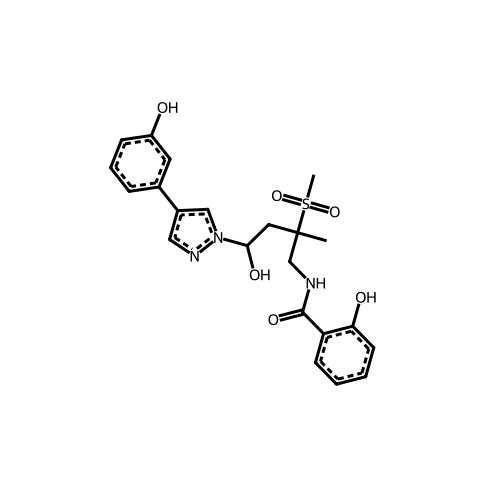 CC(CNC(=O)c1ccccc1O)(CC(O)n1cc(-c2cccc(O)c2)cn1)S(C)(=O)=O